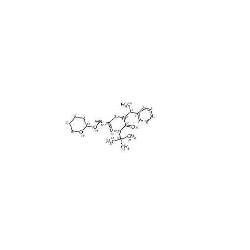 CC(c1ccccc1)N(CC(=O)NOC1CCCCO1)C(=O)OC(C)(C)C